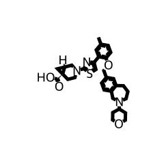 Cc1ccc(OCc2ccc3c(c2)CCCN(C2CCOCC2)C3)c(-c2csc(N3CC[C@@]4(C(=O)O)C[C@H]4C3)n2)c1